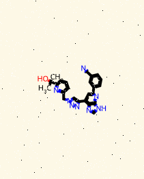 CC(C)(O)c1cccc(Cn2cc(-c3cc(-c4cccc(C#N)c4)nc4[nH]cnc34)nn2)n1